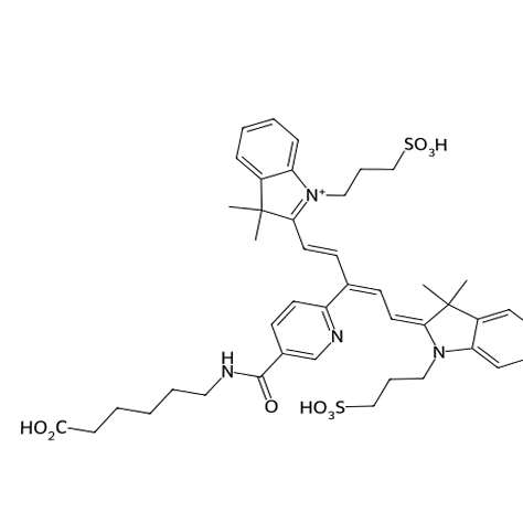 CC1(C)C(/C=C/C(=C/C=C2/N(CCCS(=O)(=O)O)c3ccccc3C2(C)C)c2ccc(C(=O)NCCCCCC(=O)O)cn2)=[N+](CCCS(=O)(=O)O)c2ccccc21